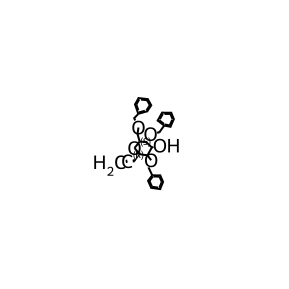 C=C=C[C@H]1OC(COCc2ccccc2)[C@@H](OCc2ccccc2)C(O)C1OCc1ccccc1